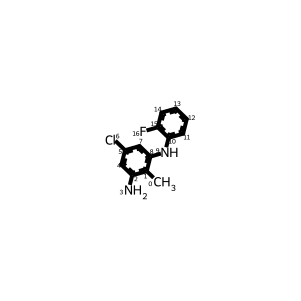 Cc1c(N)cc(Cl)cc1Nc1ccccc1F